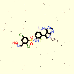 Cn1cc(-c2cccc(NS(=O)(=O)c3cc(Cl)cc(/C=N\O)c3Cl)c2F)c2c(N)ncnc21